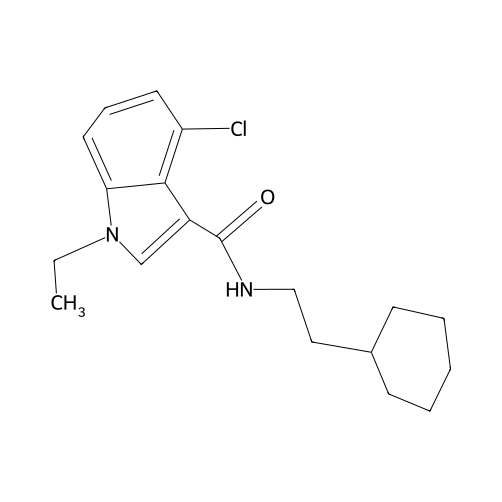 CCn1cc(C(=O)NCCC2CCCCC2)c2c(Cl)cccc21